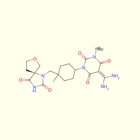 CCCCN1C(=O)C(=C(N)N)C(=O)N(C2CCC(C)(CN3C(=O)NC(=O)[C@@]34CCOC4)CC2)C1=O